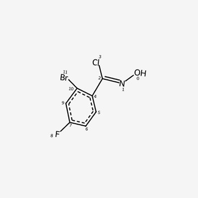 ON=C(Cl)c1ccc(F)cc1Br